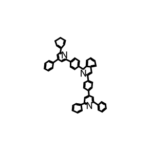 C1=CC(c2cc(-c3ccccc3)cc(-c3ccc(-c4nc(-c5ccc(-c6cc(-c7ccccc7)nc(-c7ccccc7)c6)cc5)cc5ccccc45)cc3)n2)=CCC1